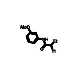 CCC(CC)C(=O)Nc1cccc(OC)c1